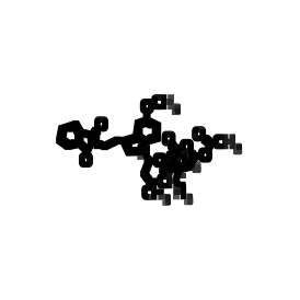 COc1ccc2c(c1)c(CCN1C(=O)c3ccccc3C1=O)cn2C(CC(C)C)OOC(C)(C)CC(OC(C)=O)OC(C)=O